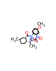 COc1ccc(NC(=O)[C@@H]2C[C@H](C)CC[C@H]2C(C)C)c([N+](=O)[O-])c1